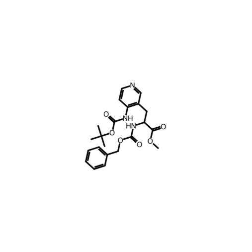 COC(=O)C(Cc1cnccc1NC(=O)OC(C)(C)C)NC(=O)OCc1ccccc1